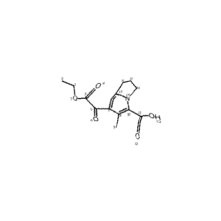 CCOC(=O)C(=O)c1c(C)c(C(=O)O)n2c1CCC2